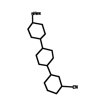 CCCCCCC1CCC(C2CCC(C3CCCC(C#N)C3)CC2)CC1